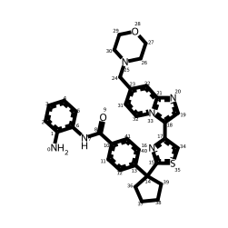 Nc1ccccc1NC(=O)c1ccc(C2(c3nc(-c4cnc5cc(CN6CCOCC6)ccn45)cs3)CCCC2)cc1